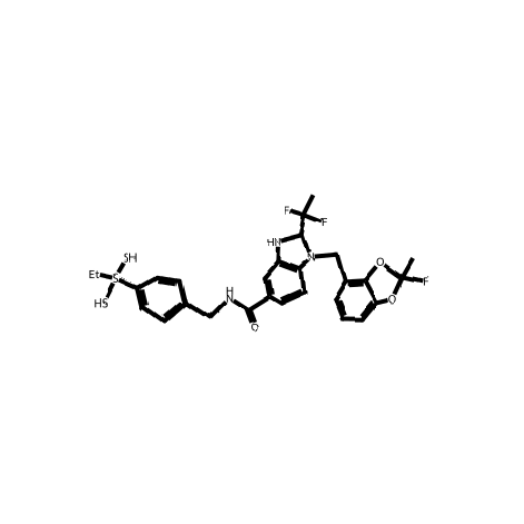 CCS(S)(S)c1ccc(CNC(=O)c2ccc3c(c2)NC(C(C)(F)F)N3Cc2cccc3c2OC(C)(F)O3)cc1